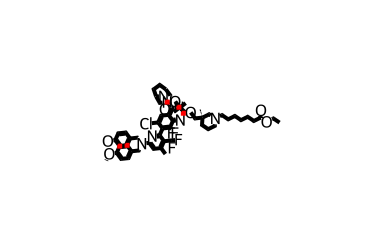 CCOC(=O)CCCCCCN1CCC[C@@](C)(COc2nc(N3CC4CCC(C3)N4C(=O)OC(C)(C)C)c3cc(Cl)c(-c4nc(N(Cc5ccc(OC)cc5)Cc5ccc(OC)cc5)cc(C)c4C(F)(F)F)c(F)c3n2)C1